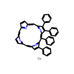 C1=CC2=NC1=CC1=NC(=C(c3ccccc3)C3=NC(=CC4=NC(=C2)C=C4)C=C3c2ccccc2)C(c2ccccc2)=C1c1ccccc1.[Cu]